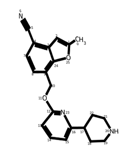 Cc1cc2c(C#N)ccc(COc3cccc(C4CCNCC4)n3)c2o1